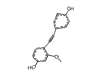 COc1cc(O)ccc1C#Cc1ccc(O)cc1